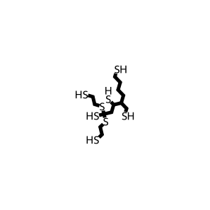 SCCCCC(CS)C(S)CC(S)(SCCS)SCCS